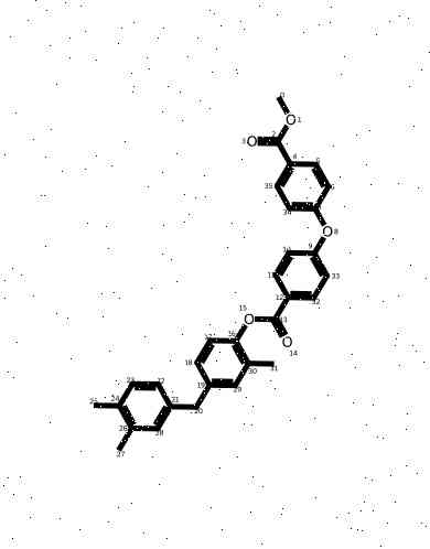 COC(=O)c1ccc(Oc2ccc(C(=O)Oc3ccc(Cc4ccc(C)c(C)c4)cc3C)cc2)cc1